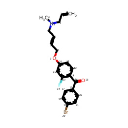 C=CCN(C)C/C=C/COc1ccc(C(=O)c2ccc(Br)cc2)c(F)c1